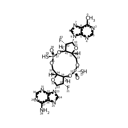 Cc1ncnc2c1ncn2[C@@H]1O[C@@H]2CO[P@](=O)(S)O[C@H]3[C@H](F)[C@H](n4cnc5c(N)ncnc54)O[C@@H]3CO[P@@](=O)(S)O[C@H]2[C@@H]1F